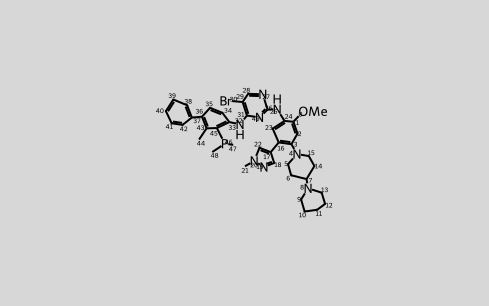 COc1cc(N2CCC(N3CCCCC3)CC2)c(-c2cnn(C)c2)cc1Nc1ncc(Br)c(Nc2ccc(-c3ccccc3)c(C)c2P(C)C)n1